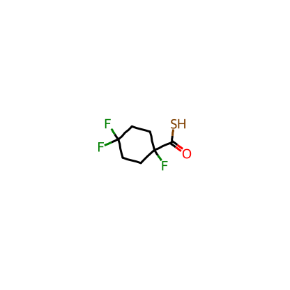 O=C(S)C1(F)CCC(F)(F)CC1